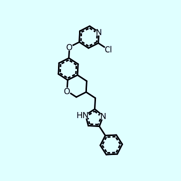 Clc1cc(Oc2ccc3c(c2)CC(Cc2nc(-c4ccccc4)c[nH]2)CO3)ccn1